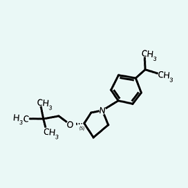 CC(C)c1ccc(N2CC[C@H](OCC(C)(C)C)C2)cc1